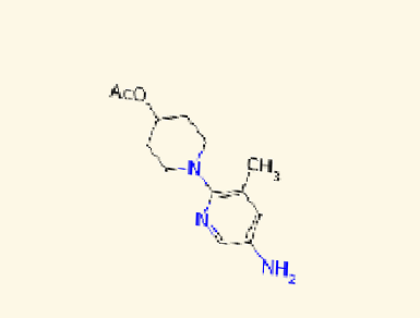 CC(=O)OC1CCN(c2ncc(N)cc2C)CC1